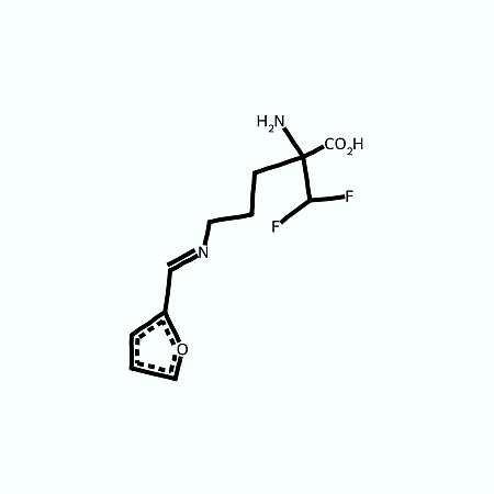 NC(CCCN=Cc1ccco1)(C(=O)O)C(F)F